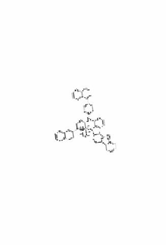 CS1(C)c2ccc3c(oc4ccccc43)c2-c2cccc(N(c3ccc(-c4ccc5ccccc5c4)cc3)c3ccc(-c4cccc5ccccc45)cc3)c21